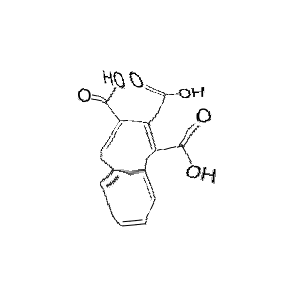 O=C(O)c1cc2ccccc2c(C(=O)O)c1C(=O)O